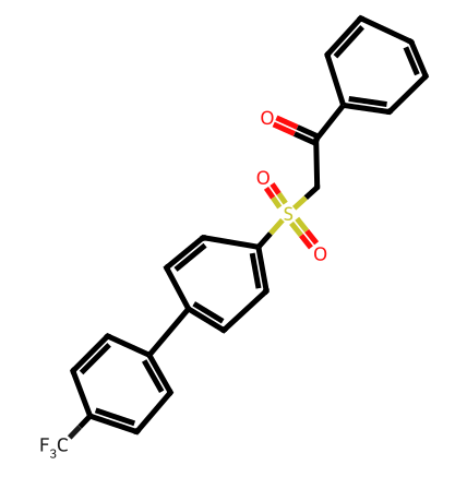 O=C(CS(=O)(=O)c1ccc(-c2ccc(C(F)(F)F)cc2)cc1)c1ccccc1